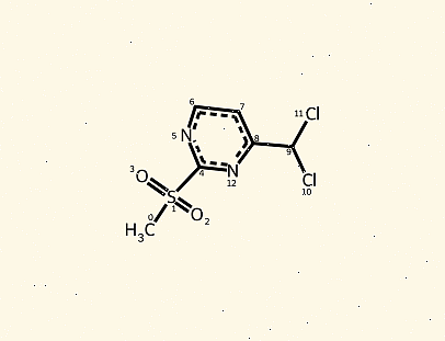 CS(=O)(=O)c1nccc(C(Cl)Cl)n1